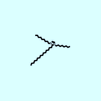 CCCCCCCCCCCCCCCc1n(CCCCCCCC)cc[n+]1CCCCCCCCC